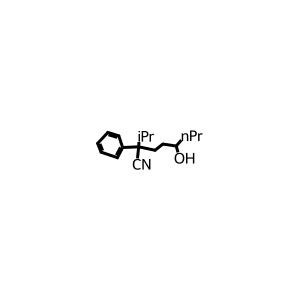 CCCC(O)CCC(C#N)(c1ccccc1)C(C)C